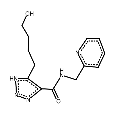 O=C(NCc1ccccn1)c1nn[nH]c1CCCCO